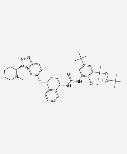 COc1c(NC(=O)N[C@H]2CC[C@@H](Oc3ccc4nnc([C@@H]5CCCCN5C)n4c3)c3ccccc32)cc(C(C)(C)C)cc1C(C)(C)O[SiH2]C(C)(C)C